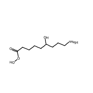 CCCCCCCCCCC(O)CCCCC(=O)OO